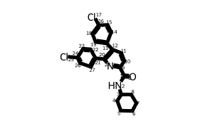 O=C(NC1CCCCC1)c1ccc(-c2ccc(Cl)cc2)c(-c2ccc(Cl)cc2)n1